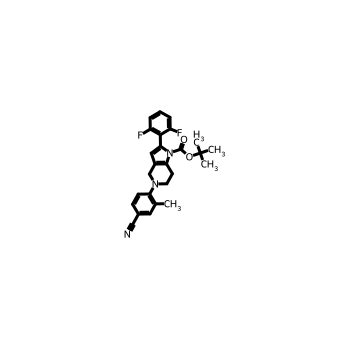 Cc1cc(C#N)ccc1N1CCc2c(cc(-c3c(F)cccc3F)n2C(=O)OC(C)(C)C)C1